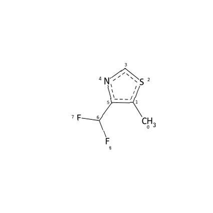 Cc1scnc1C(F)F